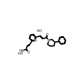 Cl.O=C(C=Cc1cccc(C=CC(=O)N2CCCC(c3ccccc3)C2)n1)NO